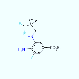 CCOC(=O)c1cc(F)c(N)c(NCC2(C(F)F)CC2)c1